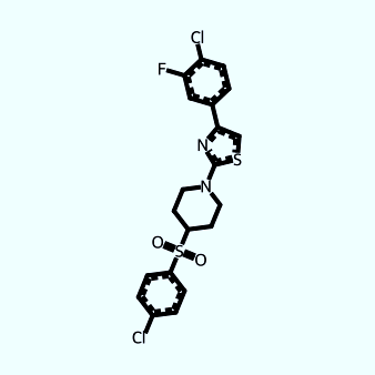 O=S(=O)(c1ccc(Cl)cc1)C1CCN(c2nc(-c3ccc(Cl)c(F)c3)cs2)CC1